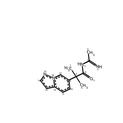 CC(=N)NC(=O)C(C)(C)c1ccc2ccnn2c1